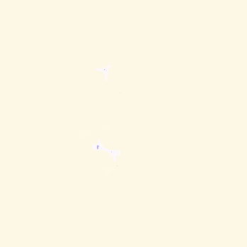 CN(C)c1cccc2c(S(=O)(=O)NNC(=O)c3ccc(Cl)cc3)cccc12